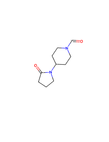 O=[C]N1CCC(N2CCCC2=O)CC1